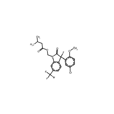 COc1ccc(Cl)cc1C1(F)C(=O)N(COC(=O)CC(C)C)c2cc(C(F)(F)F)ccc21